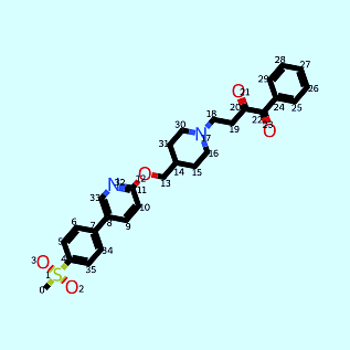 CS(=O)(=O)c1ccc(-c2ccc(OCC3CCN(CCC(=O)C(=O)c4ccccc4)CC3)nc2)cc1